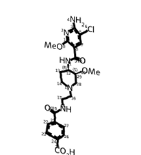 COc1nc(N)c(Cl)cc1C(=O)N[C@@H]1CCN(CCNC(=O)c2ccc(C(=O)O)cc2)C[C@@H]1OC